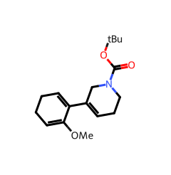 COC1=CCCC=C1C1=CCCN(C(=O)OC(C)(C)C)C1